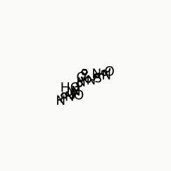 COc1ccc(-c2ncc(CN3CC[C@@H](C(=O)N4CCC(O)(Cn5cnc6c(ccn6-c6cccc(N(C)C)c6)c5=O)CC4)[C@H](c4ccccc4)C3)s2)cn1